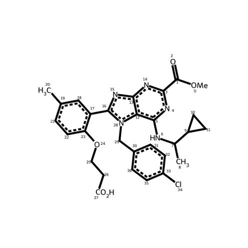 COC(=O)c1nc(NC(C)C2CC2)c2c(n1)nc(-c1cc(C)ccc1OCCC(=O)O)n2Cc1ccc(Cl)cc1